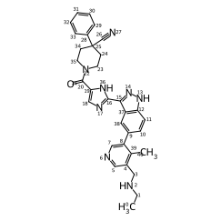 CCNCc1cncc(-c2ccc3[nH]nc(-c4ncc(C(=O)N5CCC(C#N)(c6ccccc6)CC5)[nH]4)c3c2)c1C